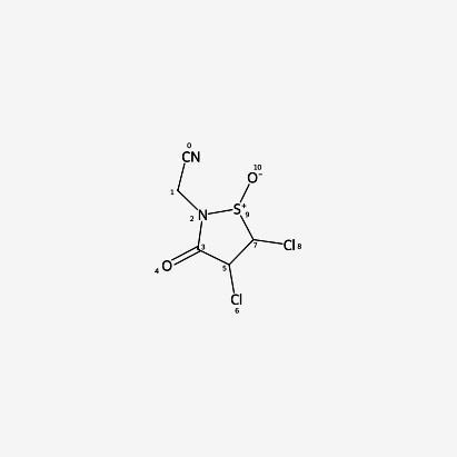 N#CCN1C(=O)C(Cl)C(Cl)[S+]1[O-]